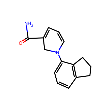 NC(=O)C1=CC=CN(c2cccc3c2CCC3)C1